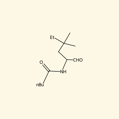 CCCCC(=O)NC(C=O)CC(C)(C)CC